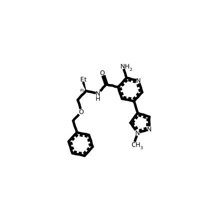 CC[C@H](COCc1ccccc1)NC(=O)c1cc(-c2cnn(C)c2)cnc1N